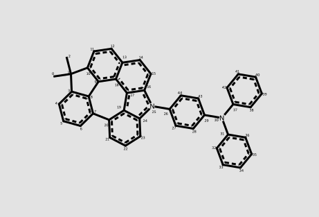 CC1(C)c2cccc3c2-c2c1ccc1ccc4c(c21)c1c-3cccc1n4-c1ccc(N(c2ccccc2)c2ccccc2)cc1